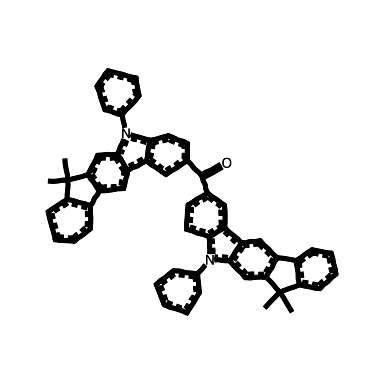 CC1(C)c2ccccc2-c2cc3c4cc(C(=O)c5ccc6c(c5)c5cc7c(cc5n6-c5ccccc5)C(C)(C)c5ccccc5-7)ccc4n(-c4ccccc4)c3cc21